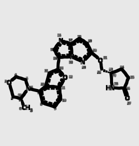 C[C@H]1COCCN1c1cccc2oc(-c3cnc4ccc(OC[C@@H]5CCC(=O)N5)nn34)cc12